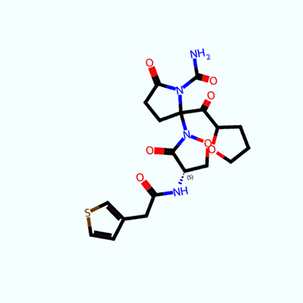 NC(=O)N1C(=O)CCC1(C(=O)C1CCCO1)N1OC[C@H](NC(=O)Cc2ccsc2)C1=O